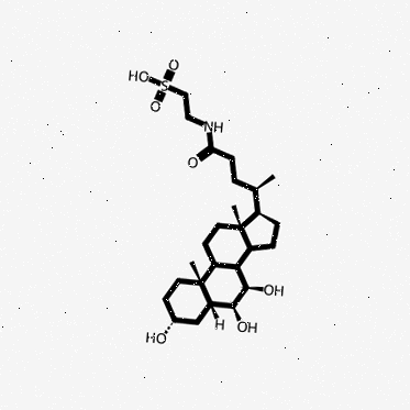 C[C@H](CCC(=O)NCCS(=O)(=O)O)[C@H]1CCC2C3C(CC[C@@]21C)[C@@]1(C)CC[C@@H](O)C[C@H]1[C@H](O)[C@@H]3O